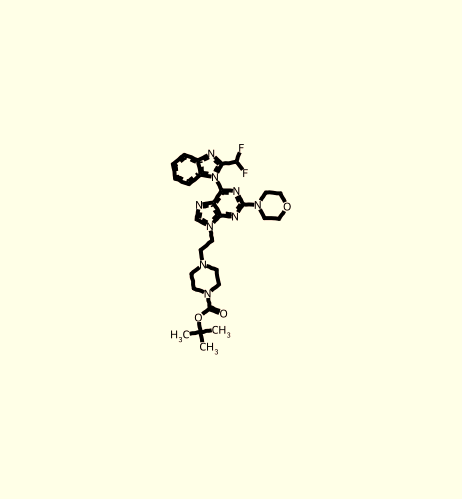 CC(C)(C)OC(=O)N1CCN(CCn2cnc3c(-n4c(C(F)F)nc5ccccc54)nc(N4CCOCC4)nc32)CC1